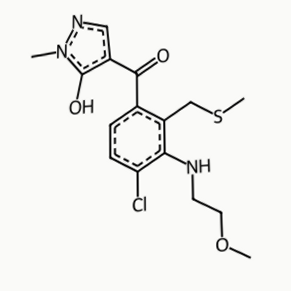 COCCNc1c(Cl)ccc(C(=O)c2cnn(C)c2O)c1CSC